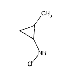 CC1CC1NCl